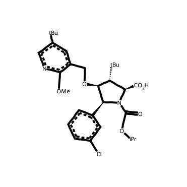 COc1ncc(C(C)(C)C)cc1CO[C@H]1[C@H](C(C)(C)C)[C@@H](C(=O)O)N(C(=O)OC(C)C)[C@H]1c1cccc(Cl)c1